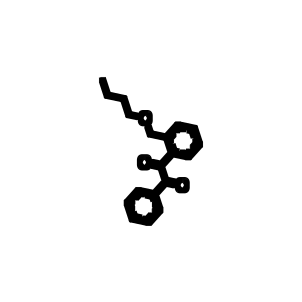 CCCCOCc1ccccc1C(=O)C(=O)c1ccccc1